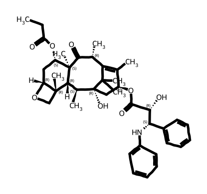 CCC(=O)O[C@H]1C[C@H]2OC[C@@]2(C)[C@H]2[C@H](C)[C@]3(O)C[C@H](OC(=O)[C@H](O)[C@@H](Nc4ccccc4)c4ccccc4)C(C)=C([C@@H](C)C(=O)[C@]12C)C3(C)C